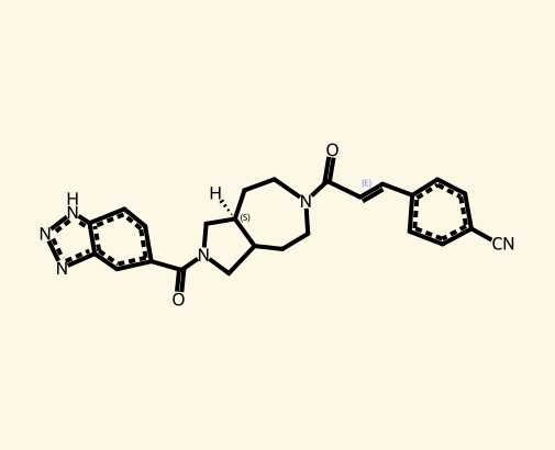 N#Cc1ccc(/C=C/C(=O)N2CCC3CN(C(=O)c4ccc5[nH]nnc5c4)C[C@H]3CC2)cc1